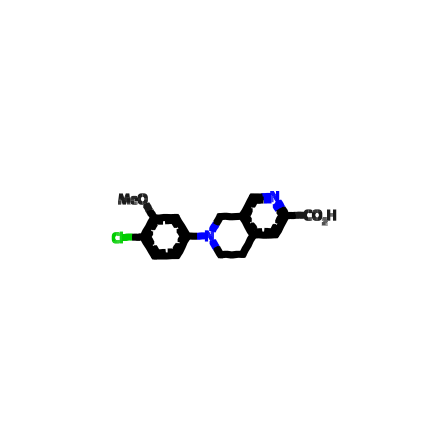 COc1cc(N2CCc3cc(C(=O)O)ncc3C2)ccc1Cl